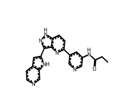 CCC(=O)Nc1cncc(-c2ccc3[nH]nc(-c4cc5ccncc5[nH]4)c3n2)c1